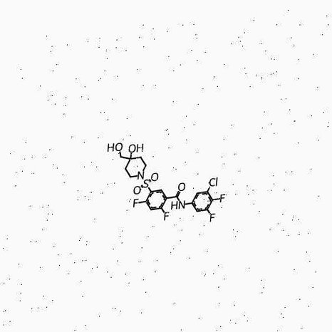 O=C(Nc1cc(F)c(F)c(Cl)c1)c1cc(S(=O)(=O)N2CCC(O)(CO)CC2)c(F)cc1F